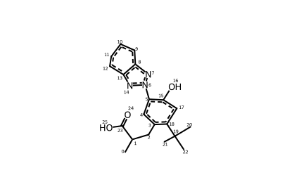 CC(Cc1cc(-n2nc3ccccc3n2)c(O)cc1C(C)(C)C)C(=O)O